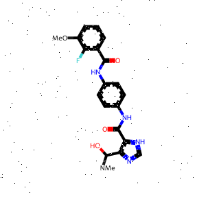 CNC(O)c1nc[nH]c1C(=O)Nc1ccc(NC(=O)c2cccc(OC)c2F)cc1